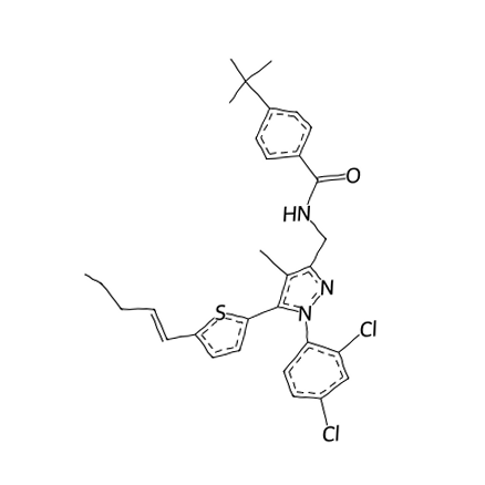 CCCC=Cc1ccc(-c2c(C)c(CNC(=O)c3ccc(C(C)(C)C)cc3)nn2-c2ccc(Cl)cc2Cl)s1